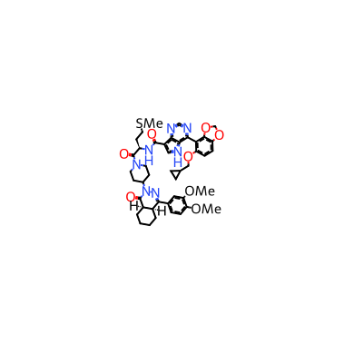 COc1ccc(C2=NN(C3CCN(C(=O)[C@@H](CCSC)NC(=O)c4c[nH]c5c(-c6c(OCC7CC7)ccc7c6OCO7)ncnc45)CC3)C(=O)[C@@H]3CCCC[C@H]23)cc1OC